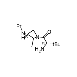 CCN[C@@H]1CN(C(=O)[C@@H](N)C(C)(C)C)C1C